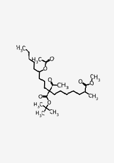 CCCCCC(CCCC(CCCCCC(C)C(=O)OC)(C(C)=O)C(=O)OC(C)(C)C)OC(C)=O